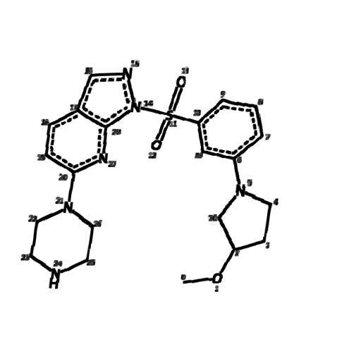 COC1CCN(c2cccc(S(=O)(=O)n3ncc4ccc(N5CCNCC5)nc43)c2)C1